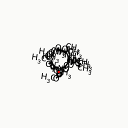 CC[C@H](C)[C@H]1NC(=O)[C@@H](NC(=O)[C@@H](CC(C)C)NC)COC(=O)[C@H](Cc2ccc(OC)cc2)N(C)C(=O)[C@@H]2CCCN2C(=O)[C@H](CC(C)C)NC(=O)C(C)(C)NC(=O)C[C@@H]1O